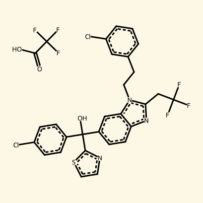 O=C(O)C(F)(F)F.OC(c1ccc(Cl)cc1)(c1ccc2nc(CC(F)(F)F)n(CCc3cccc(Cl)c3)c2c1)c1nccs1